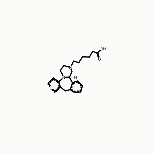 O=C(O)CCCCCN1CCN2c3ccccc3Cc3ccccc3[C@@H]2C1